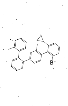 Cc1ccccc1-c1ccccc1-c1ccc(-c2c(Br)cccc2C2CC2)c(C)c1